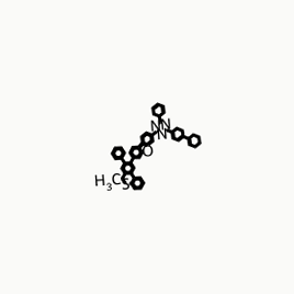 CC1Sc2ccccc2-c2cc(-c3ccc4c(c3)oc3cc(-c5nc(C6=CC=C(C7=CCCCC7)CC6)nc(C6C=CC=CC6)n5)ccc34)c(-c3ccccc3)cc21